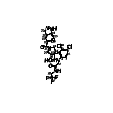 O=C(CN1c2ccc(Cl)c(Cl)c2C2(CCN(C(=O)c3cc4cn[nH]c4cn3)CC2)C1O)NCC(F)(F)F